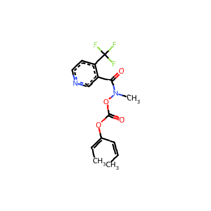 C/C=C\C(=C/C)OC(=O)ON(C)C(=O)c1cnccc1C(F)(F)F